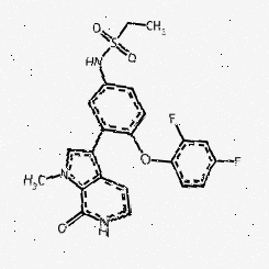 CCS(=O)(=O)Nc1ccc(Oc2ccc(F)cc2F)c(-c2cn(C)c3c(=O)[nH]ccc23)c1